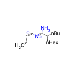 C=C/C=C\N=C(/N)C(CCCC)CCCCCC